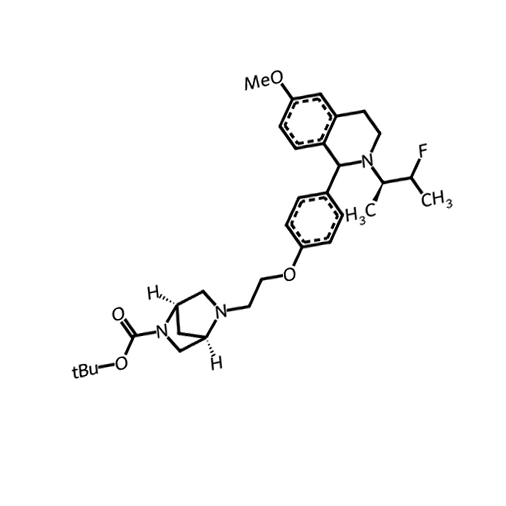 COc1ccc2c(c1)CCN([C@H](C)C(C)F)C2c1ccc(OCCN2C[C@H]3C[C@@H]2CN3C(=O)OC(C)(C)C)cc1